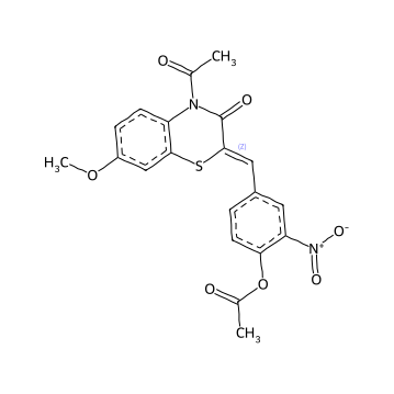 COc1ccc2c(c1)S/C(=C\c1ccc(OC(C)=O)c([N+](=O)[O-])c1)C(=O)N2C(C)=O